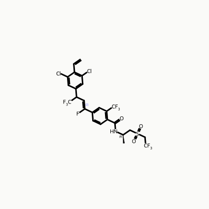 C=Cc1c(Cl)cc(C(/C=C(\F)c2ccc(C(=O)N[C@H](C)CS(=O)(=O)CC(F)(F)F)c(C(F)(F)F)c2)C(F)(F)F)cc1Cl